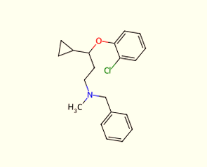 CN(CCC(Oc1ccccc1Cl)C1CC1)Cc1ccccc1